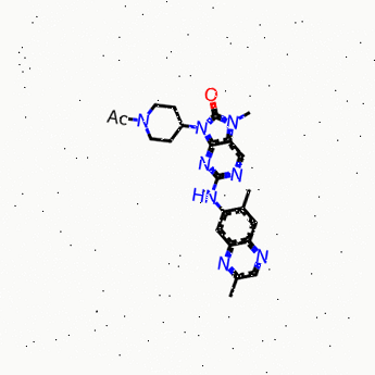 CC(=O)N1CCC(n2c(=O)n(C)c3cnc(Nc4cc5nc(C)cnc5cc4C)nc32)CC1